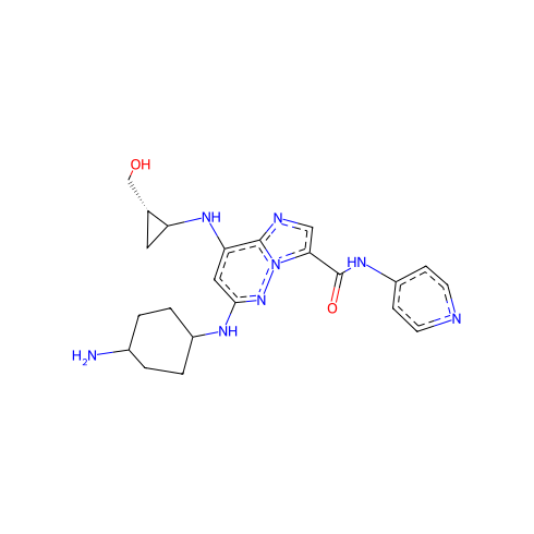 NC1CCC(Nc2cc(NC3C[C@@H]3CO)c3ncc(C(=O)Nc4ccncc4)n3n2)CC1